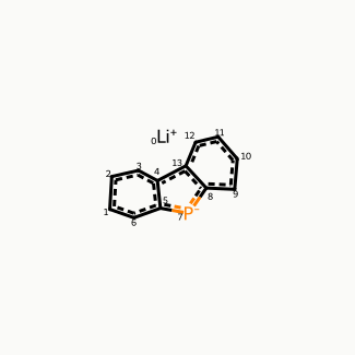 [Li+].c1ccc2c(c1)[p-]c1ccccc12